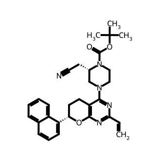 C=Cc1nc2c(c(N3CCN(C(=O)OC(C)(C)C)[C@@H](CC#N)C3)n1)CC[C@@H](c1cccc3ccccc13)O2